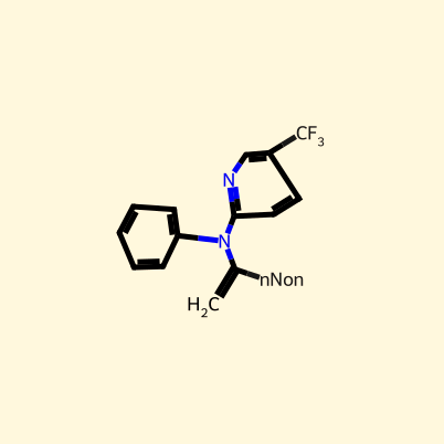 C=C(CCCCCCCCC)N(c1ccccc1)c1ccc(C(F)(F)F)cn1